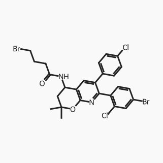 CC1(C)CC(NC(=O)CCCBr)c2cc(-c3ccc(Cl)cc3)c(-c3ccc(Br)cc3Cl)nc2O1